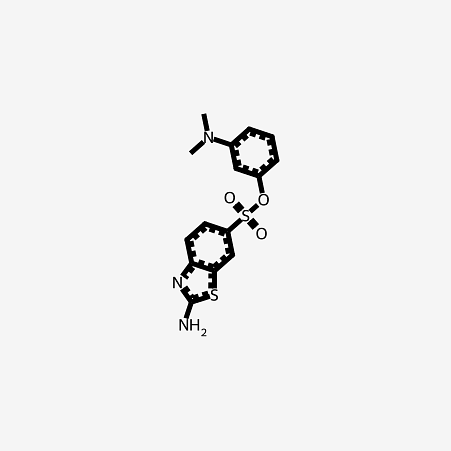 CN(C)c1cccc(OS(=O)(=O)c2ccc3nc(N)sc3c2)c1